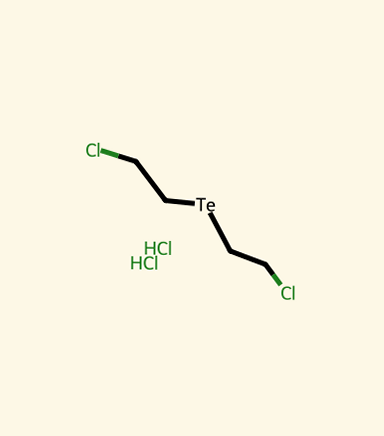 Cl.Cl.ClCC[Te]CCCl